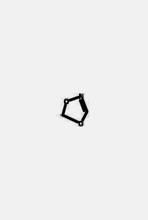 [CH]1OC=NO1